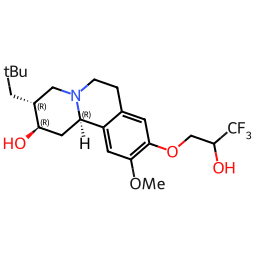 COc1cc2c(cc1OCC(O)C(F)(F)F)CCN1C[C@@H](CC(C)(C)C)[C@H](O)C[C@H]21